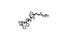 CCCSCCC1OCC(=NOC(=O)NC(C)Cl)S1